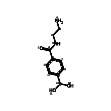 NCCNC(=O)c1ccc(B(O)O)cc1